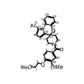 COCCOc1ccc(C(=O)N2CCC3(CC2)Oc2ccccc2-n2c(C(C)=O)ccc23)cc1OC